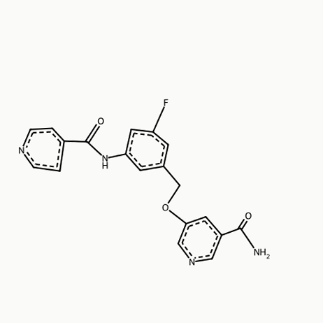 NC(=O)c1cncc(OCc2cc(F)cc(NC(=O)c3ccncc3)c2)c1